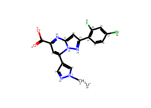 Cn1cc(-c2cc(C(=O)[O-])nc3cc(-c4ccc(Br)cc4F)nn23)cn1.[Li+]